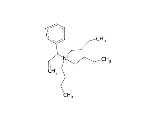 C=CC(c1ccccc1)[N+](CCCC)(CCCC)CCCC